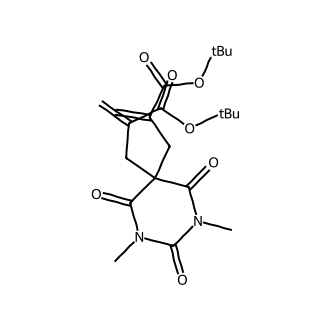 C=C(CC1(CC(=C)C(=O)OC(C)(C)C)C(=O)N(C)C(=O)N(C)C1=O)C(=O)OC(C)(C)C